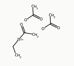 CC(=O)[O-].CC(=O)[O-].C[CH2][Zr+2][C](C)=O